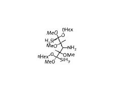 CCCCCCOC([SiH3])(OC)C(C)(OC)C(N)C(C)(OC)C([SiH3])(OC)OCCCCCC